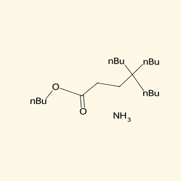 CCCCOC(=O)CCC(CCCC)(CCCC)CCCC.N